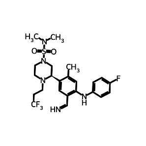 Cc1cc(Nc2ccc(F)cc2)c(C=N)cc1[C@@H]1CN(S(=O)(=O)N(C)C)CCN1CCC(F)(F)F